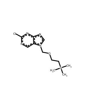 C[Si](C)(C)CCOCn1cnc2nc(Cl)ncc21